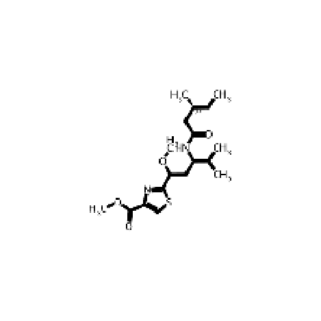 CC[C@H](C)CC(=O)NC(CC(OC)c1nc(C(=O)OC)cs1)C(C)C